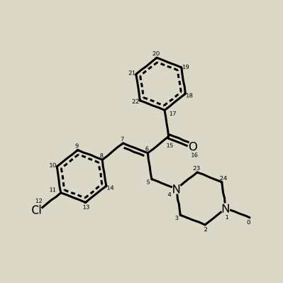 CN1CCN(C/C(=C\c2ccc(Cl)cc2)C(=O)c2ccccc2)CC1